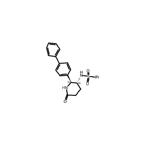 CC(C)S(=O)(=O)N[C@@H]1CCC(=O)N[C@H]1c1ccc(-c2ccccc2)cc1